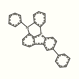 c1ccc(-c2ccc3c(c2)c2cccc4c2p3-c2ccccc2N4c2ccccc2)cc1